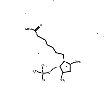 COC(=O)CCCCCC[C@@H]1[C@@H](CO[Si](C)(C)C(C)(C)C)[C@H](N)C[C@@H]1OC(C)=O